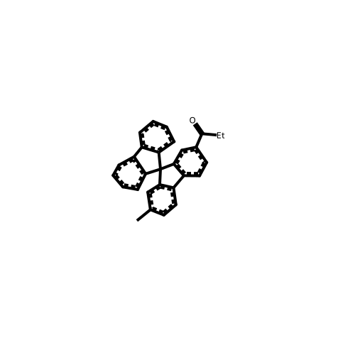 CCC(=O)c1ccc2c(c1)C1(c3ccccc3-c3ccccc31)c1cc(C)ccc1-2